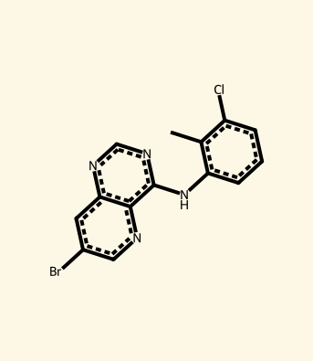 Cc1c(Cl)cccc1Nc1ncnc2cc(Br)cnc12